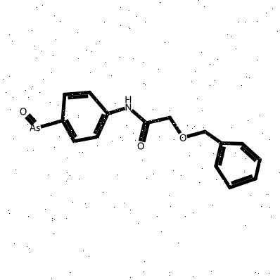 O=[As]c1ccc(NC(=O)COCc2ccccc2)cc1